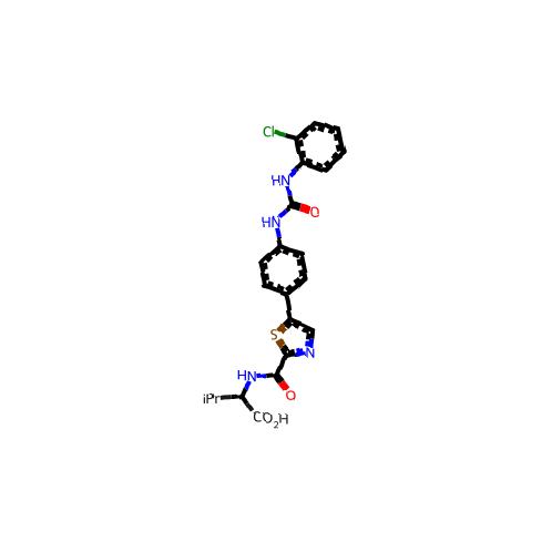 CC(C)C(NC(=O)c1ncc(-c2ccc(NC(=O)Nc3ccccc3Cl)cc2)s1)C(=O)O